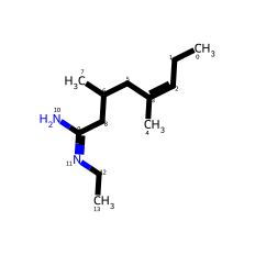 CC/C=C(/C)CC(C)C/C(N)=N\CC